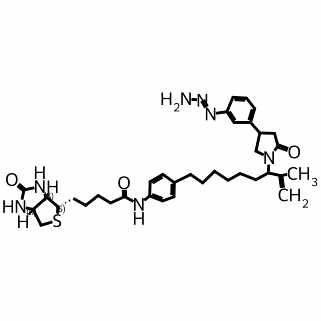 C=C(C)C(CCCCCCc1ccc(NC(=O)CCCC[C@@H]2SC[C@@H]3NC(=O)N[C@@H]32)cc1)N1CC(c2cccc(N=NN)c2)CC1=O